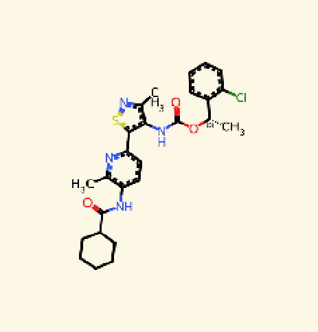 Cc1nc(-c2snc(C)c2NC(=O)O[C@@H](C)c2ccccc2Cl)ccc1NC(=O)C1CCCCC1